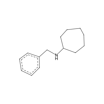 c1ccc(CNC2CCCCCC2)cc1